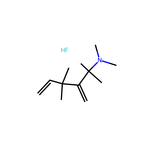 C=CC(C)(C)C(=C)C(C)(C)N(C)C.F